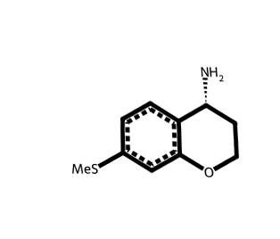 CSc1ccc2c(c1)OCC[C@H]2N